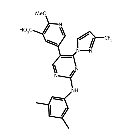 COc1ncc(-c2cnc(Nc3cc(C)cc(C)c3)nc2-n2ccc(C(F)(F)F)n2)cc1C(=O)O